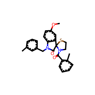 COc1ccc2c(c1)C1(SCCN1C(=O)c1ccccc1C)C(=O)N2Cc1cccc(C)c1